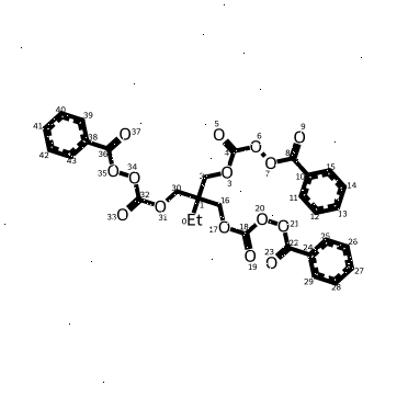 CCC(COC(=O)OOC(=O)c1ccccc1)(COC(=O)OOC(=O)c1ccccc1)COC(=O)OOC(=O)c1ccccc1